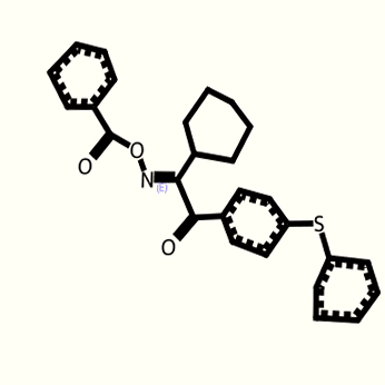 O=C(O/N=C(/C(=O)c1ccc(Sc2ccccc2)cc1)C1CCCCC1)c1ccccc1